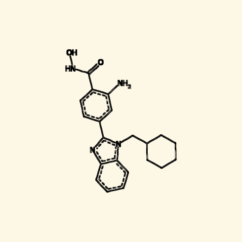 Nc1cc(-c2nc3ccccc3n2CC2CCCCC2)ccc1C(=O)NO